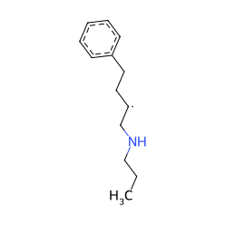 CCCNC[CH]CCc1ccccc1